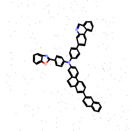 c1ccc2cc(-c3ccc4c(ccc5cc(N(c6ccc(-c7ccc8c(c7)ncc7ccccc78)cc6)c6ccc(-c7nc8ccccc8o7)cc6)ccc54)c3)ccc2c1